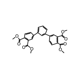 COC(=O)c1ccc(-c2cccc(-c3ccc(C(=O)OC)c(C(=O)OC)c3)c2)cc1C(=O)OC